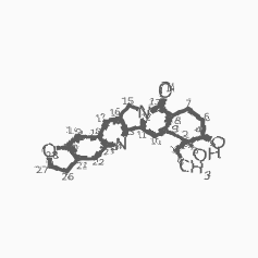 CC[C@@]1(O)C(=O)CCc2c1cc1n(c2=O)Cc2cc3cc4c(cc3nc2-1)CCO4